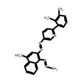 Cc1cccc(-c2ccc(/N=N/c3cc(S(=O)(=O)O)c4ccccc4c3N=NN)cn2)c1C